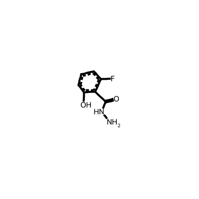 NNC(=O)c1c(O)cccc1F